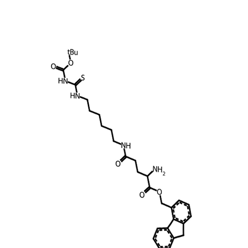 CC(C)(C)OC(=O)NC(=S)NCCCCCCNC(=O)CCC(N)C(=O)OCc1cccc2c1-c1ccccc1C2